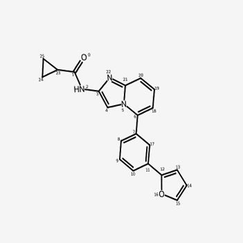 O=C(Nc1cn2c(-c3cccc(-c4ccco4)c3)cccc2n1)C1CC1